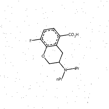 CCCN(C(C)C)C1COc2c(F)ccc(C(=O)O)c2C1